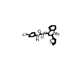 O=C(NN=C1CC(c2cccs2)Nc2ccccc21)Nc1ccc(Cl)cc1